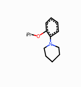 CC(C)Oc1ccccc1N1CCCCC1